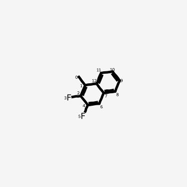 Cc1c(F)c(F)cc2ccccc12